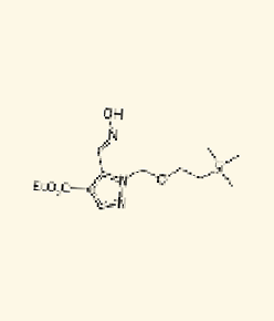 CCOC(=O)c1cnn(COCC[Si](C)(C)C)c1C=NO